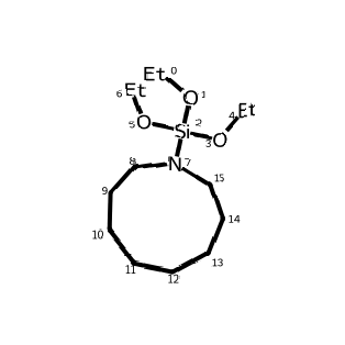 CCO[Si](OCC)(OCC)N1CCCCCCCC1